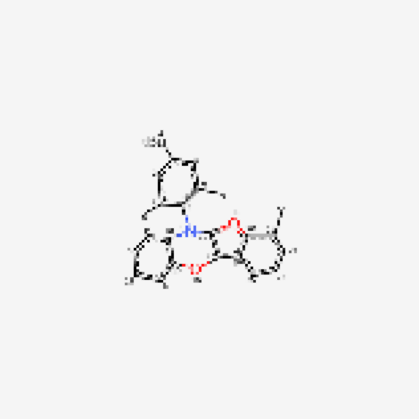 Cc1cc(C(C)(C)C)cc(C)c1N1c2ccccc2Oc2c1oc1c(C)cccc21